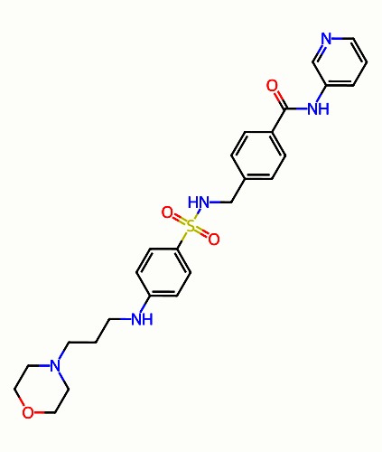 O=C(Nc1cccnc1)c1ccc(CNS(=O)(=O)c2ccc(NCCCN3CCOCC3)cc2)cc1